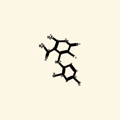 Cc1[nH]c(=O)c(F)c(Nc2ccc(Br)cc2Cl)c1C(N)=O